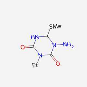 CCN1C(=O)NC(SC)N(N)C1=O